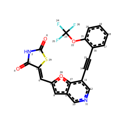 O=C1NC(=O)C(=Cc2cc3cncc(C#Cc4ccccc4OC(F)(F)F)c3o2)S1